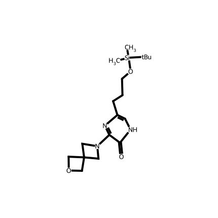 CC(C)(C)[Si](C)(C)OCCCc1c[nH]c(=O)c(N2CC3(COC3)C2)n1